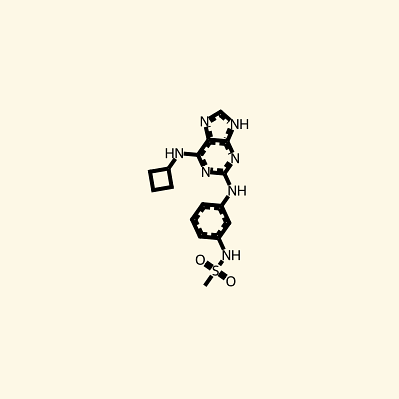 CS(=O)(=O)Nc1cccc(Nc2nc(NC3CCC3)c3nc[nH]c3n2)c1